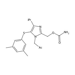 CC(=O)Cn1c(COC(N)=O)nc(C(C)C)c1Sc1cc(C)cc(C)c1